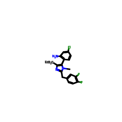 CCOC(=O)c1nc(Cc2ccc(F)c(F)c2)n(C)c1-c1ccc(Cl)cc1N